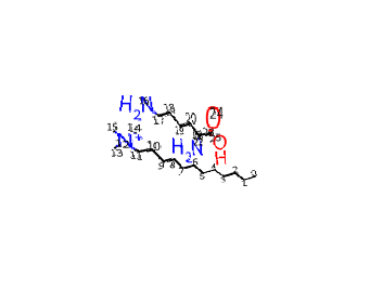 CCCCCCCCCCCC[N+](C)(C)C.NCCCC[C@H](N)C(=O)O